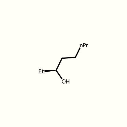 CCCCC[C@@H](O)CC